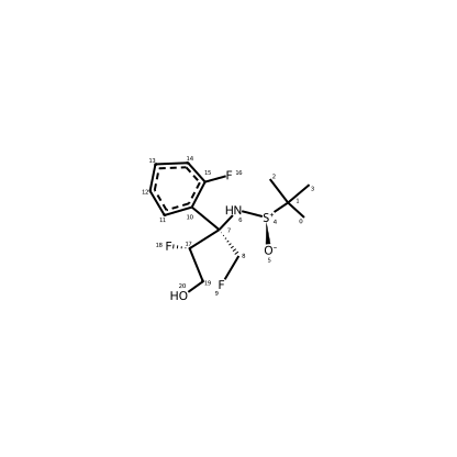 CC(C)(C)[S@@+]([O-])N[C@](CF)(c1ccccc1F)[C@@H](F)CO